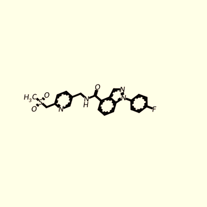 CS(=O)(=O)Cc1ccc(CNC(=O)c2cccc3c2cnn3-c2ccc(F)cc2)cn1